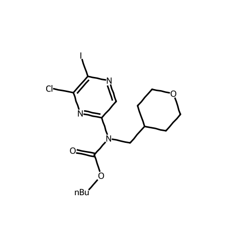 CCCCOC(=O)N(CC1CCOCC1)c1cnc(I)c(Cl)n1